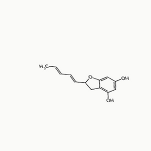 CC=CC=CC1Cc2c(O)cc(O)cc2O1